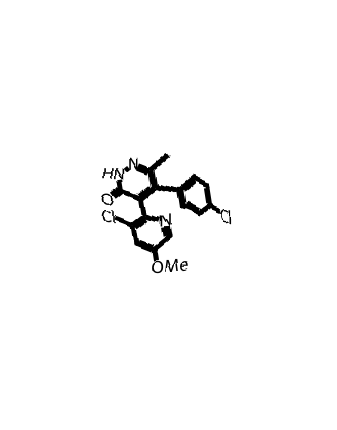 COc1cnc(-c2c(-c3ccc(Cl)cc3)c(C)n[nH]c2=O)c(Cl)c1